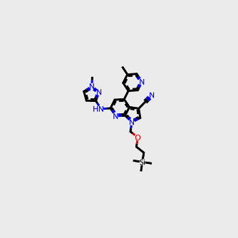 Cc1cncc(-c2cc(Nc3ccn(C)n3)nc3c2c(C#N)cn3COCC[Si](C)(C)C)c1